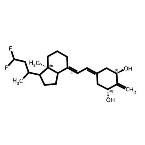 C=C1[C@H](O)CC(=C/C=C2\CCC[C@@]3(C)C2CCC3C(C)CC(F)F)C[C@H]1O